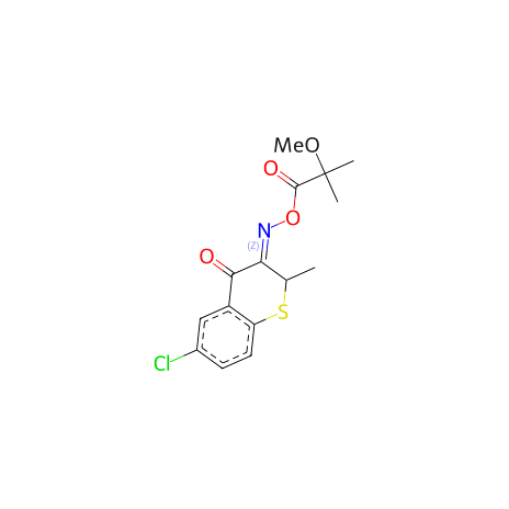 COC(C)(C)C(=O)O/N=C1/C(=O)c2cc(Cl)ccc2SC1C